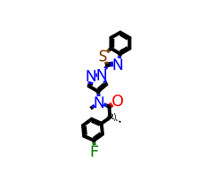 C[C@@H](C(=O)N(C)c1cnn(-c2nc3ccccc3s2)c1)c1cccc(F)c1